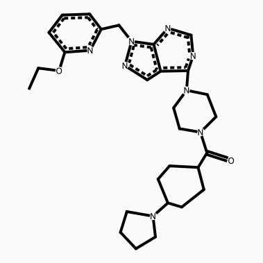 CCOc1cccc(Cn2ncc3c(N4CCN(C(=O)C5CCC(N6CCCC6)CC5)CC4)ncnc32)n1